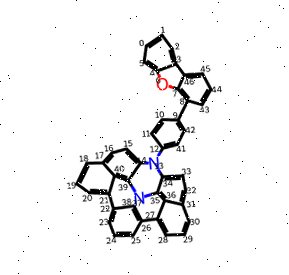 c1ccc2c(c1)oc1c(-c3ccc(-n4c5ccc6cccc7c8cccc9c%10cccc%11ccc4c(c%11%10)n(c89)c5c67)cc3)cccc12